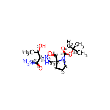 CC(O)[C@H](NC[C@]1(C=O)CCCN1C(=O)OC(C)(C)C)C(N)=O